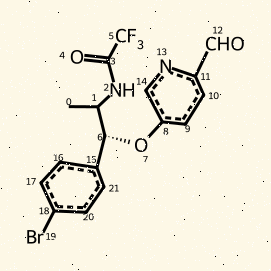 CC(NC(=O)C(F)(F)F)[C@H](Oc1ccc(C=O)nc1)c1ccc(Br)cc1